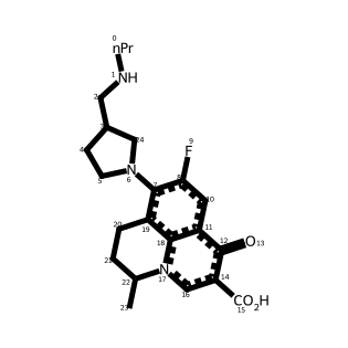 CCCNCC1CCN(c2c(F)cc3c(=O)c(C(=O)O)cn4c3c2CCC4C)C1